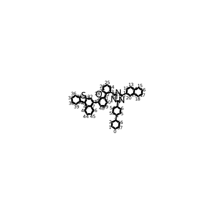 c1ccc(-c2ccc(-c3nc(-c4ccc5ccccc5c4)nc(-c4cccc5oc6c(-c7cc8sc9ccccc9c8c8ccccc78)cccc6c45)n3)cc2)cc1